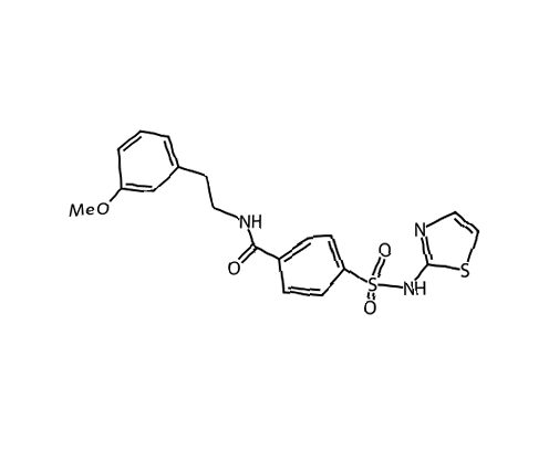 COc1cccc(CCNC(=O)c2ccc(S(=O)(=O)Nc3nccs3)cc2)c1